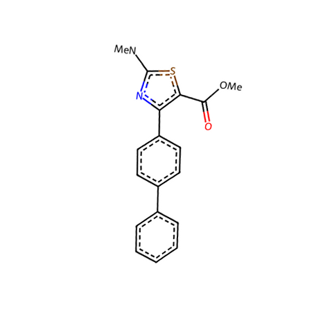 CNc1nc(-c2ccc(-c3ccccc3)cc2)c(C(=O)OC)s1